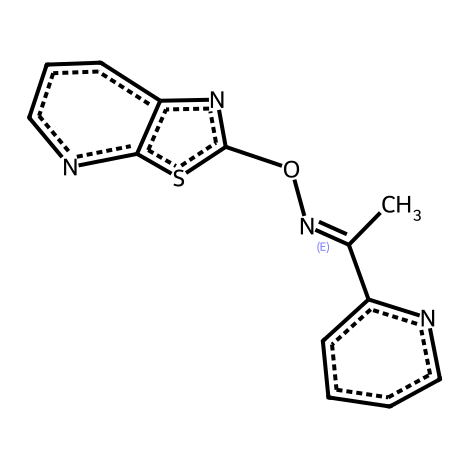 C/C(=N\Oc1nc2cccnc2s1)c1ccccn1